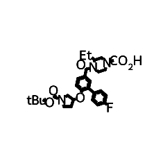 CCC1CN(C(=O)O)CCN1C(=O)c1ccc(OC2CCN(C(=O)OC(C)(C)C)C2)c(-c2ccc(F)cc2)c1